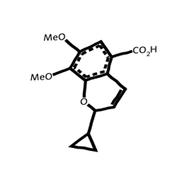 COc1cc(C(=O)O)c2c(c1OC)OC(C1CC1)C=C2